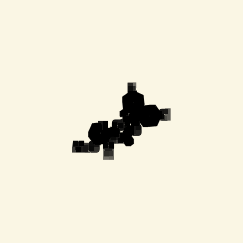 COc1ccnc(C(=O)NC(C)C(=O)ON(C)C(C)(c2ccc(F)cc2)c2ccc(Cl)cc2)c1O